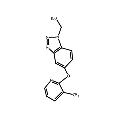 CC(C)(C)Cn1nnc2cc(Oc3ncccc3C(F)(F)F)ccc21